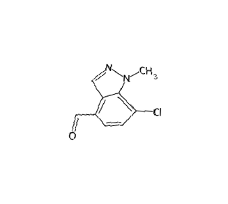 Cn1ncc2c(C=O)ccc(Cl)c21